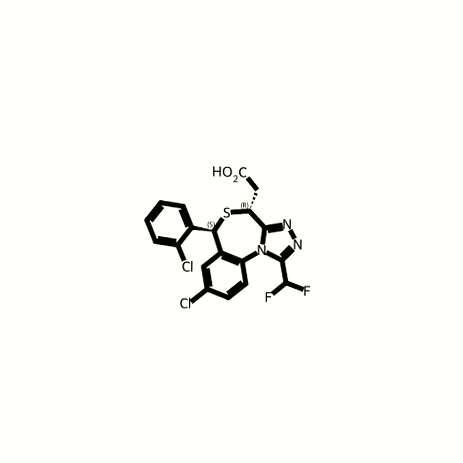 O=C(O)C[C@H]1S[C@H](c2ccccc2Cl)c2cc(Cl)ccc2-n2c(C(F)F)nnc21